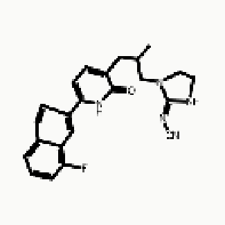 CC(Cc1ccc(-c2ccc3cccc(F)c3c2)[nH]c1=O)CN1CCN/C1=N\C#N